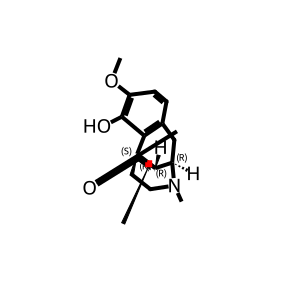 COc1ccc2c(c1O)[C@]13CCN(C)[C@H](C2)[C@@H]1C[C@@H](C)C(=O)C3